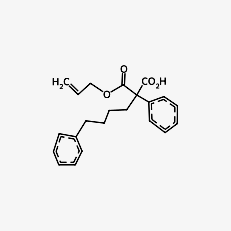 C=CCOC(=O)C(CCCCc1ccccc1)(C(=O)O)c1ccccc1